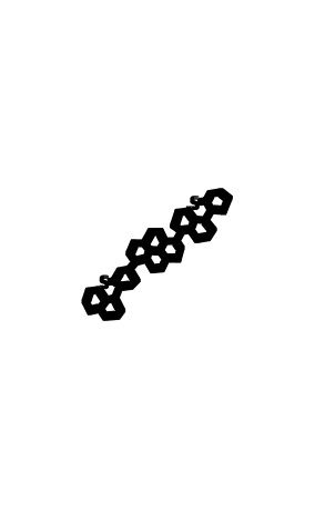 c1ccc2c(c1)Sc1ccc(-c3ccc4ccc5c(-c6ccc7c(c6)Sc6cccc8cccc-7c68)ccc6ccc3c4c65)c3cccc-2c13